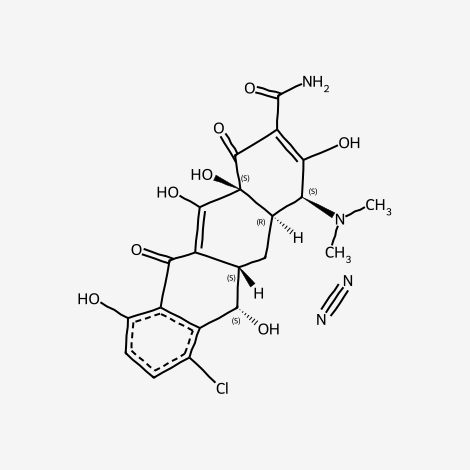 CN(C)[C@@H]1C(O)=C(C(N)=O)C(=O)[C@@]2(O)C(O)=C3C(=O)c4c(O)ccc(Cl)c4[C@@H](O)[C@H]3C[C@H]12.N#N